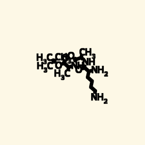 CC(NC(=O)C(N)CCCCN)C(=O)NC(C)C(=O)OC(C)(C)C